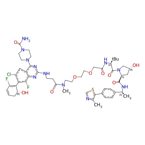 Cc1ncsc1-c1ccc([C@H](C)NC(=O)[C@@H]2C[C@@H](O)CN2C(=O)[C@@H](NC(=O)COCCOCCN(C)C(=O)CCNc2nc(N3CCN(C(N)=O)CC3)c3cc(Cl)c(C4=C(F)C=CC[C@H]4O)c(F)c3n2)C(C)(C)C)cc1